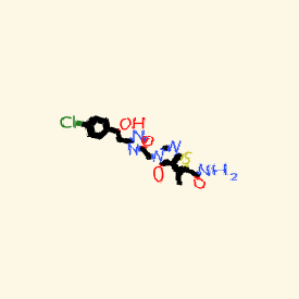 Cc1c(C(N)=O)sc2ncn(Cc3nc(CC(O)c4ccc(Cl)cc4)no3)c(=O)c12